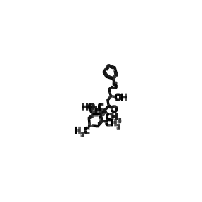 Cc1cc(C)c(C(C)(C(=O)O)C(=O)CC(O)CSc2ccccc2)c(C)c1